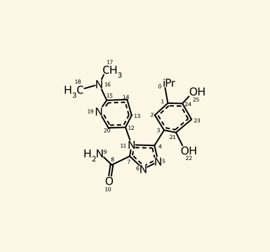 CC(C)c1cc(-c2nnc(C(N)=O)n2-c2ccc(N(C)C)nc2)c(O)cc1O